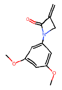 C=C1CN(c2cc(OC)cc(OC)c2)C1=O